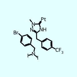 Brc1ccc(CN(I)I)cc1.Cn1nc(Cc2ccc(C(F)(F)F)cc2)[nH][c]1=[Pt]